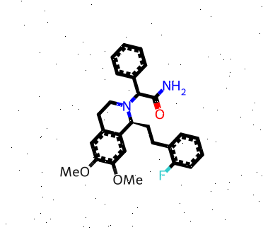 COc1cc2c(cc1OC)[C@H](CCc1ccccc1F)N(C(C(N)=O)c1ccccc1)CC2